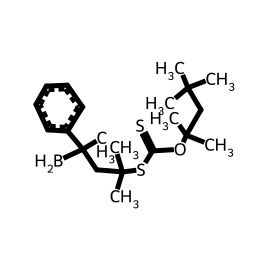 BC(C)(CC(C)(C)SC(=S)OC(C)(C)CC(C)(C)C)c1ccccc1